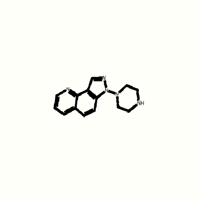 c1cnc2c(c1)ccc1c2cnn1N1CCNCC1